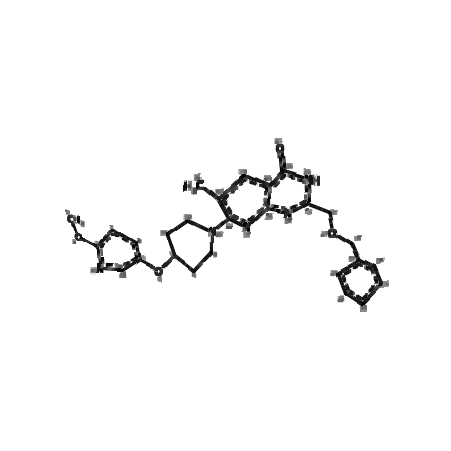 COc1ccc(OC2CCN(c3nc4nc(COCc5ccccc5)[nH]c(=O)c4cc3C)CC2)cn1